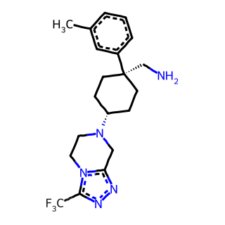 Cc1cccc([C@]2(CN)CC[C@@H](N3CCn4c(nnc4C(F)(F)F)C3)CC2)c1